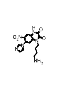 NCCCCn1c(=O)c(=O)[nH]c2cc([N+](=O)[O-])c(-n3ccnc3)cc21